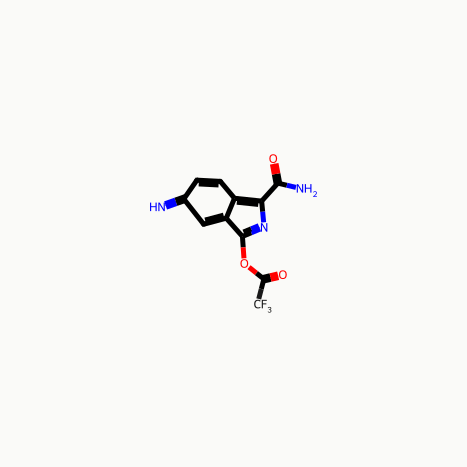 N=C1C=CC2=C(C(N)=O)N=C(OC(=O)C(F)(F)F)C2=C1